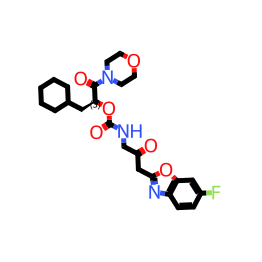 O=C(CNC(=O)O[C@@H](CC1CCCCC1)C(=O)N1CCOCC1)Cc1nc2ccc(F)cc2o1